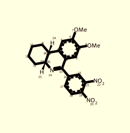 COc1cc2c(cc1OC)[C@H]1CCCC[C@H]1N=C2c1ccc([N+](=O)[O-])c([N+](=O)[O-])c1